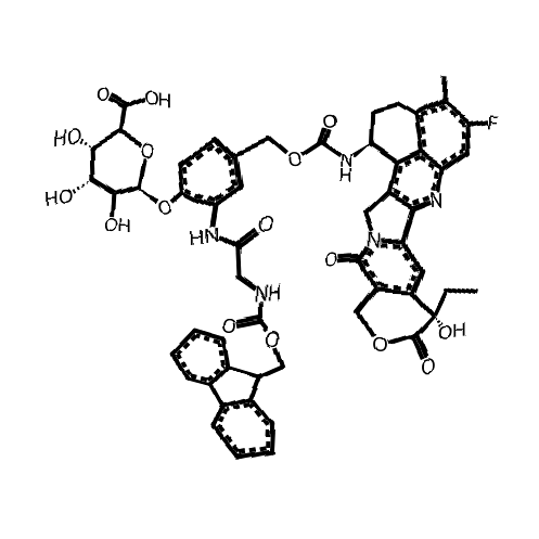 CC[C@@]1(O)C(=O)OCc2c1cc1n(c2=O)Cc2c-1nc1cc(F)c(C)c3c1c2[C@@H](NC(=O)OCc1ccc(O[C@@H]2OC(C(=O)O)[C@@H](O)[C@@H](O)C2O)c(NC(=O)CNC(=O)OCC2c4ccccc4-c4ccccc42)c1)CC3